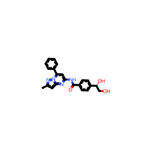 Cc1cc2nc(NC(=O)c3ccc([C@H](O)CO)cc3)cc(-c3ccccc3)n2n1